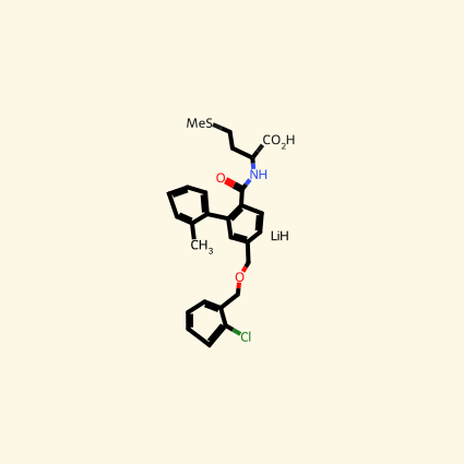 CSCCC(NC(=O)c1ccc(COCc2ccccc2Cl)cc1-c1ccccc1C)C(=O)O.[LiH]